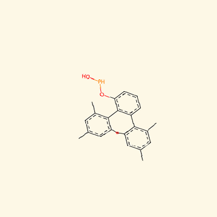 Cc1cc(C)c(-c2cccc(OPO)c2-c2c(C)cc(C)cc2C)c(C)c1